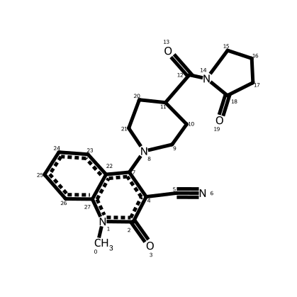 Cn1c(=O)c(C#N)c(N2CCC(C(=O)N3CCCC3=O)CC2)c2ccccc21